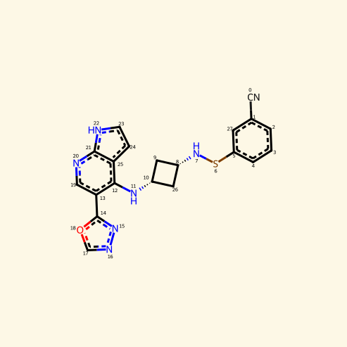 N#Cc1cccc(SN[C@H]2C[C@@H](Nc3c(-c4nnco4)cnc4[nH]ccc34)C2)c1